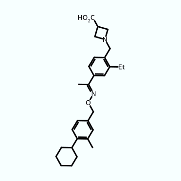 CCc1cc(C(C)=NOCc2ccc(C3CCCCC3)c(C)c2)ccc1CN1CC(C(=O)O)C1